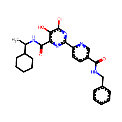 CC(NC(=O)c1nc(-c2ccc(C(=O)NCc3ccccc3)cn2)nc(O)c1O)C1CCCCC1